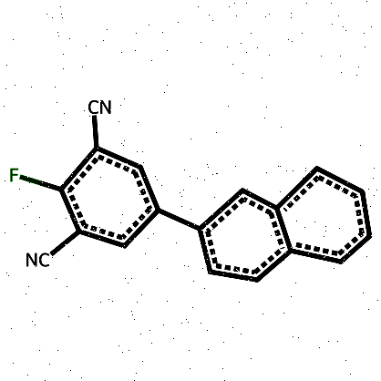 N#Cc1cc(-c2ccc3ccccc3c2)cc(C#N)c1F